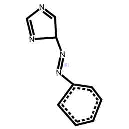 C1=NC=NC1/N=N/c1ccccc1